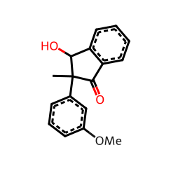 COc1cccc(C2(C)C(=O)c3ccccc3C2O)c1